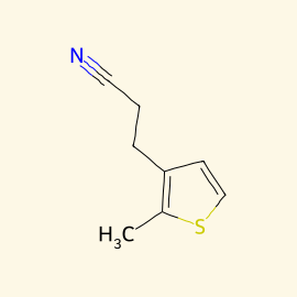 Cc1sccc1CCC#N